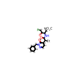 CCC(C(=O)NC(CC(=O)O)C(=O)CF)c1ccnn(Cc2ccccc2)c1=O